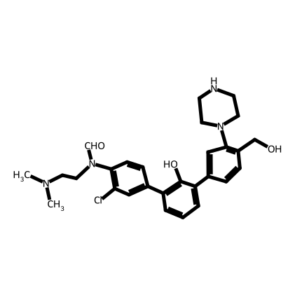 CN(C)CCN(C=O)c1ccc(-c2cccc(-c3ccc(CO)c(N4CCNCC4)c3)c2O)cc1Cl